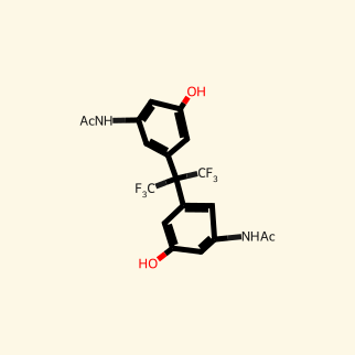 CC(=O)Nc1cc(O)cc(C(c2cc(O)cc(NC(C)=O)c2)(C(F)(F)F)C(F)(F)F)c1